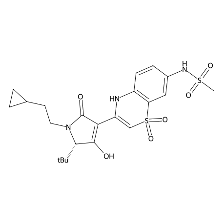 CC(C)(C)[C@H]1C(O)=C(C2=CS(=O)(=O)c3cc(NS(C)(=O)=O)ccc3N2)C(=O)N1CCC1CC1